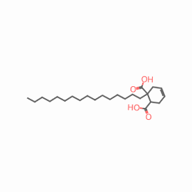 CCCCCCCCCCCCCCCCC1(C(=O)O)CC=CCC1C(=O)O